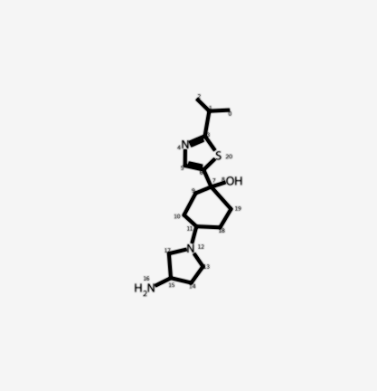 CC(C)c1ncc(C2(O)CCC(N3CCC(N)C3)CC2)s1